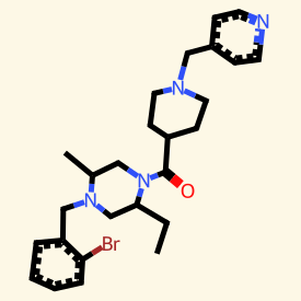 CCC1CN(Cc2ccccc2Br)C(C)CN1C(=O)C1CCN(Cc2ccncc2)CC1